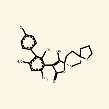 Cc1cc(C)c(-c2ccc(Cl)cc2)c(C)c1C1=C(O)[C@]2(CC[C@@]3(CCCO3)CC2)OC1=O